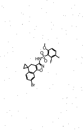 COc1ccc(C)c(F)c1S(=O)(=O)Nc1noc2c1CC1(CC1)c1ccc(Br)cc1-2